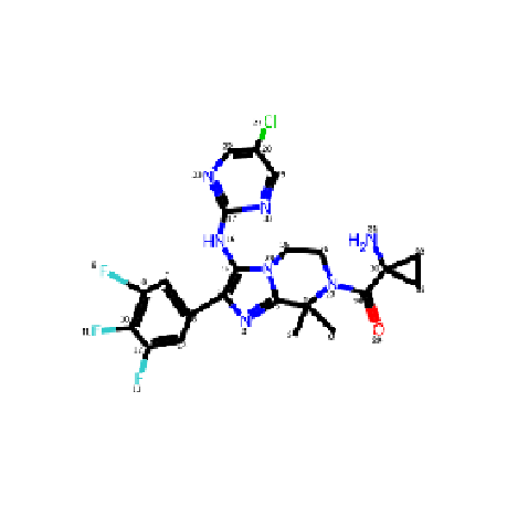 CC1(C)c2nc(-c3cc(F)c(F)c(F)c3)c(Nc3ncc(Cl)cn3)n2CCN1C(=O)C1(N)CC1